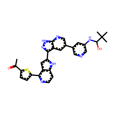 CC(=O)c1ccc(-c2nccc3[nH]c(-c4n[nH]c5ncc(-c6cncc(NC(O)C(C)(C)C)c6)cc45)cc23)s1